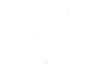 Brc1ccc(-c2ccc(C34C[C@H]5C[C@@H](C3)C[C@@H](C4)C5)cc2)cc1